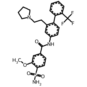 COc1cc(C(=O)Nc2ccc(-c3ccccc3C(F)(F)F)c(CCN3CCCC3)c2)ccc1S(N)(=O)=O